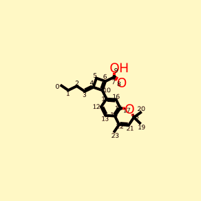 CCC/C=C1\CC(C(=O)O)=C1c1ccc2c(c1)OC(C)(C)C=C2C